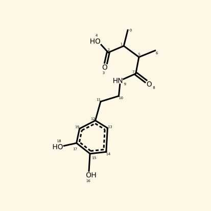 CC(C(=O)O)C(C)C(=O)NCCc1ccc(O)c(O)c1